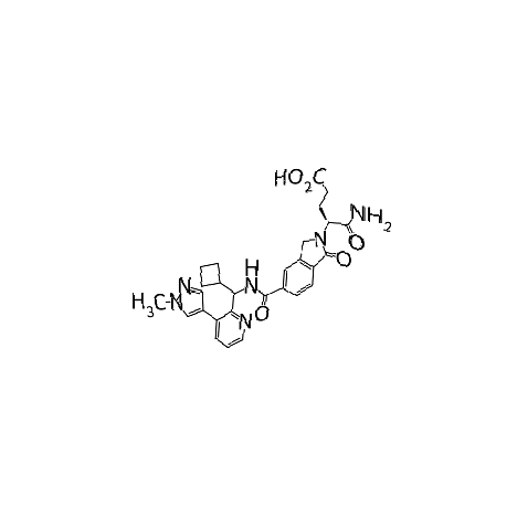 Cn1cc(-c2cccnc2C(NC(=O)c2ccc3c(c2)CN([C@@H](CCC(=O)O)C(N)=O)C3=O)C2CCC2)cn1